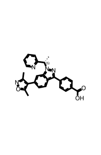 Cc1noc(C)c1-c1ccc2c(-c3ccc(C(=O)O)cc3)nn([C@@H](C)c3ccccn3)c2c1